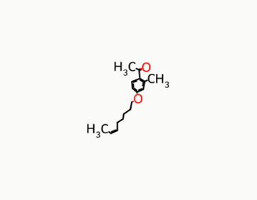 C/C=C\CCCCCOc1ccc(C(C)=O)c(C)c1